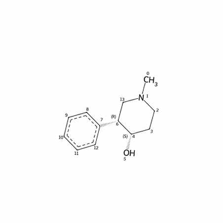 CN1CC[C@H](O)[C@H](c2ccccc2)C1